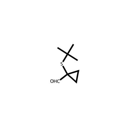 CC(C)(C)SC1(C=O)CC1